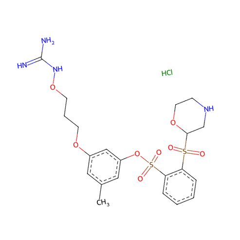 Cc1cc(OCCCONC(=N)N)cc(OS(=O)(=O)c2ccccc2S(=O)(=O)C2CNCCO2)c1.Cl